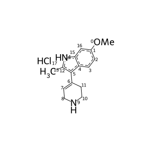 COc1ccc2c(C3=CCNCC3)c(C)[nH]c2c1.Cl